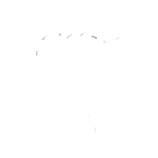 CC/C=C\C[C@H](O)C#C/C=C/C=C/[C@H](O)C/C=C\C/C=C\CCCCCCCCCCCCC(=O)O